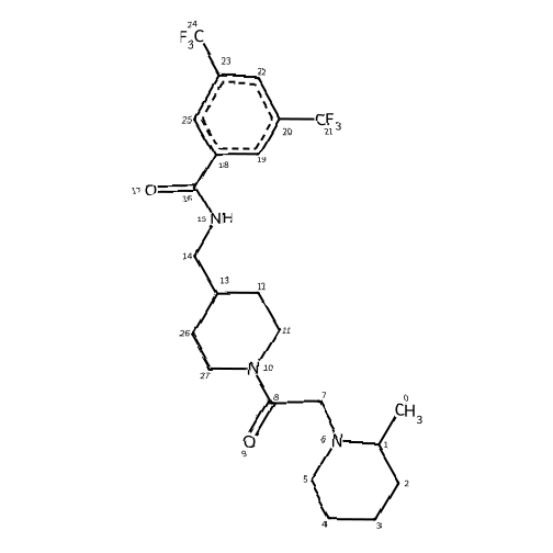 CC1CCCCN1CC(=O)N1CCC(CNC(=O)c2cc(C(F)(F)F)cc(C(F)(F)F)c2)CC1